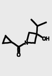 CC(C)C1(O)CN(C(=O)C2CC2)C1